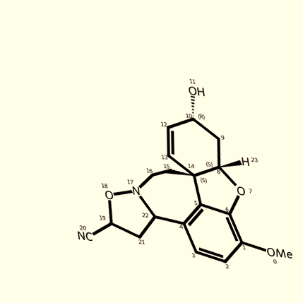 COc1ccc2c3c1O[C@H]1C[C@@H](O)C=C[C@@]31CCN1OC(C#N)CC21